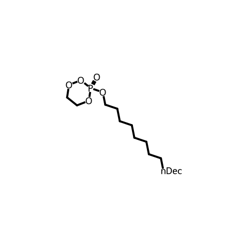 CCCCCCCCCCCCCCCCCCOP1(=O)OCCOO1